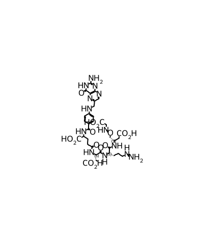 NNCCC[C@H](NC(=O)[C@H](CC(=O)O)NC(=O)CCC(NC(=O)c1ccc(NCc2cnc3nc(N)[nH]c(=O)c3n2)cc1)C(=O)O)C(=O)N[C@H](CONCC(=O)O)CC(=O)O